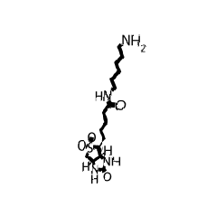 NCCCCCCNC(=O)CCCC[C@H]1[C@H]2NC(=O)N[C@H]2CS1(=O)=O